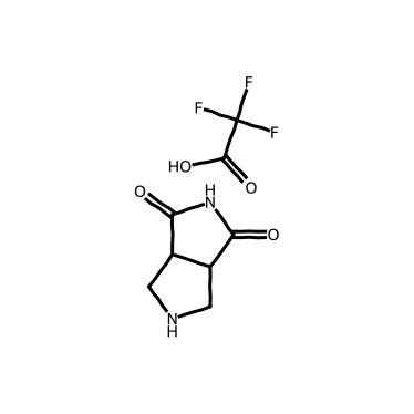 O=C(O)C(F)(F)F.O=C1NC(=O)C2CNCC12